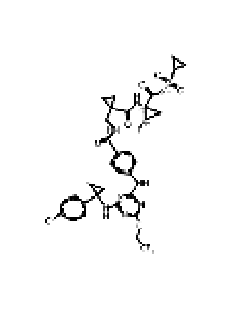 O=C(NCC1(C(=O)N[C@]2(C(=O)NS(=O)(=O)C3CC3)C[C@H]2I)CC1)c1ccc(Nc2nc(NC3(c4ccc(Cl)cc4)CC3)nc(OCC(F)(F)F)n2)cc1